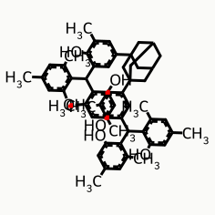 Cc1cc(C)c(C(c2cc(C34CC5CC(C3)CC(c3cc(C)c(O)c(C(c6c(C)cc(C)cc6O)c6c(C)cc(C)cc6O)c3)(C5)C4)cc(C)c2O)c2c(C)cc(C)cc2O)c(O)c1